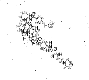 Cc1ccc(S(=O)(=O)Nc2ccc(NNC(=O)C(=O)NCCCN3CCOCC3)cc2)c(C)c1NC(=O)c1c(C(=O)N2CCCCCC2NC(=O)c2cccnc2)ccc[n+]1C.Cl.[Cl-]